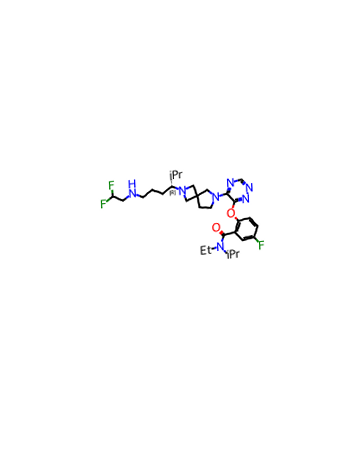 CCN(C(=O)c1cc(F)ccc1Oc1nncnc1N1CCC2(C1)CN([C@H](CCCNCC(F)F)C(C)C)C2)C(C)C